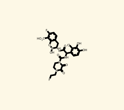 O=C(O)c1c(F)ccc2c1OB(O)[C@@H](NC(=O)C(NC(=O)N1CCN(CCF)C(=O)C1=O)c1ccc(O)c(O)c1Cl)C2